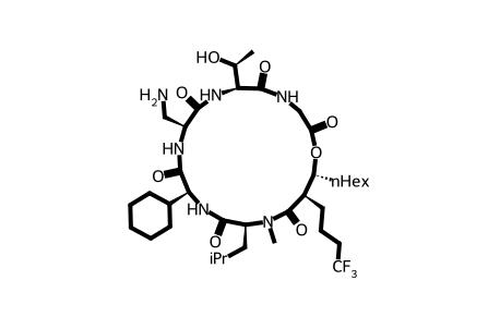 CCCCCC[C@H]1OC(=O)CNC(=O)[C@H]([C@H](C)O)NC(=O)[C@H](CN)NC(=O)[C@H](C2CCCCC2)NC(=O)[C@H](CC(C)C)N(C)C(=O)[C@@H]1CCCC(F)(F)F